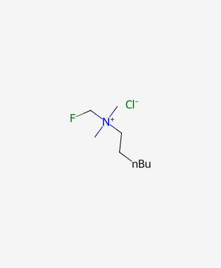 CCCCCC[N+](C)(C)CF.[Cl-]